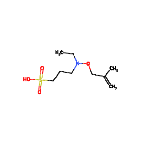 C=C(C)CON(CC)CCCS(=O)(=O)O